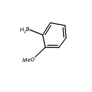 Bc1ccccc1OC